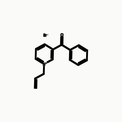 C=CC[n+]1cccc(C(=O)c2ccccc2)c1.[Br-]